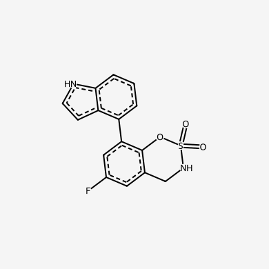 O=S1(=O)NCc2cc(F)cc(-c3cccc4[nH]ccc34)c2O1